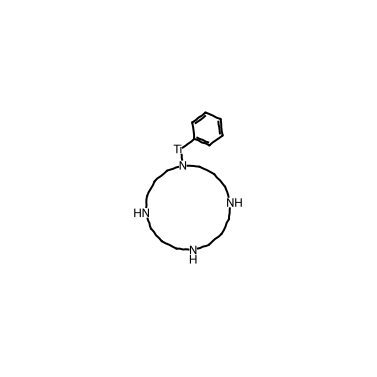 c1cc[c]([Ti][N]2CCCNCCCNCCCNCCC2)cc1